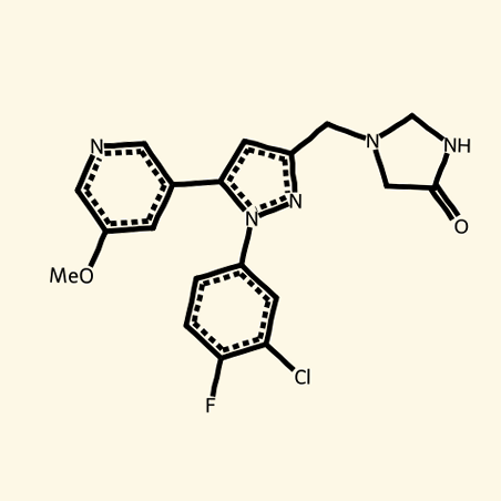 COc1cncc(-c2cc(CN3CNC(=O)C3)nn2-c2ccc(F)c(Cl)c2)c1